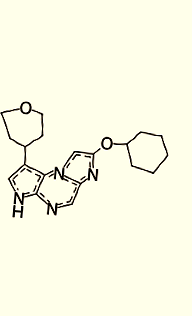 c1[nH]c2ncc3nc(OC4CCCCC4)cn3c2c1C1CCOCC1